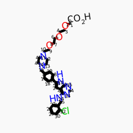 O=C(O)COCCOCCOCCN1CCN(Cc2ccc(-c3cc4c(NCc5ccccc5Cl)ncnc4[nH]3)cc2)CC1